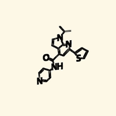 CC(C)n1ccc2c(C(=O)Nc3ccncc3)cc(-c3cccs3)nc21